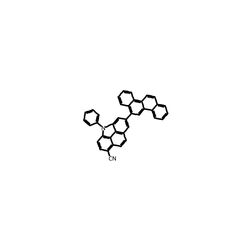 N#Cc1ccc2c3c1ccc1cc(-c4cc5c6ccccc6ccc5c5ccccc45)cc(c13)n2-c1ccccc1